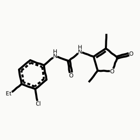 CCc1ccc(NC(=O)NC2=C(C)C(=O)OC2C)cc1Cl